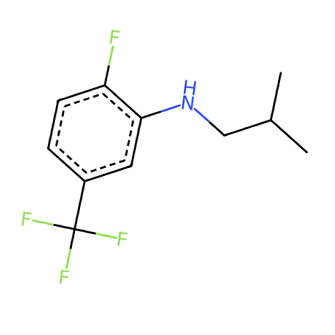 CC(C)CNc1cc(C(F)(F)F)ccc1F